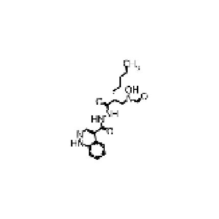 CCCCC[C@H](CN(O)C=O)C(=O)NNC(=O)C1=C[N]Nc2ccccc21